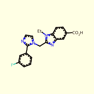 CCn1c(Cn2ccnc2-c2cccc(F)c2)nc2cc(C(=O)O)ccc21